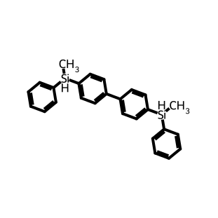 C[SiH](c1ccccc1)c1ccc(-c2ccc([SiH](C)c3ccccc3)cc2)cc1